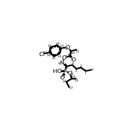 CCCCCC(=NOC(=O)C(C)Oc1ccc(Cl)cc1)P(=O)(O)OC(C)CC